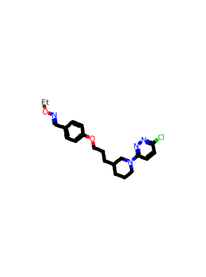 CCON=Cc1ccc(OCCCC2CCCN(c3ccc(Cl)nn3)C2)cc1